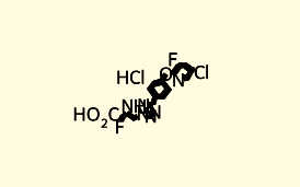 Cl.NC(Cn1nnc(-c2ccc(Oc3ncc(Cl)cc3F)cc2)n1)C(F)C(=O)O